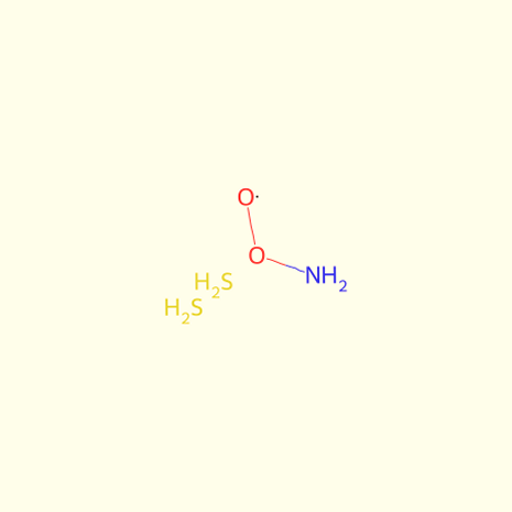 NO[O].S.S